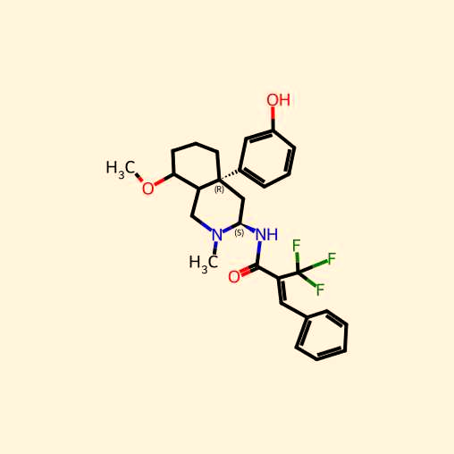 COC1CCC[C@@]2(c3cccc(O)c3)C[C@@H](NC(=O)C(=Cc3ccccc3)C(F)(F)F)N(C)CC12